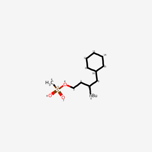 CCCCC(CCOS(C)(=O)=O)CC1CCCCC1